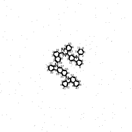 c1ccc(-n2c3ccccc3c3ccc(-c4nc(-c5cccc6cc(-n7c8ccccc8c8cc9cc(-n%10c%11ccccc%11c%11c%12ccccc%12ccc%11%10)ccc9cc87)ccc56)nc5ccccc45)cc32)cc1